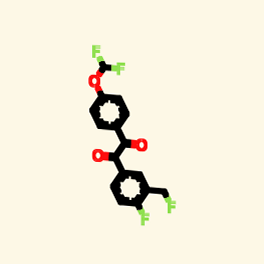 O=C(C(=O)c1ccc(F)c(CF)c1)c1ccc(OC(F)F)cc1